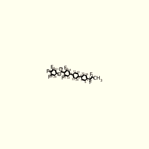 C/C(F)=C(\F)c1ccc(-c2ccc(-c3cc(F)c(C(=O)Oc4cc(F)c(F)c(F)c4)c(F)c3)cc2)cc1